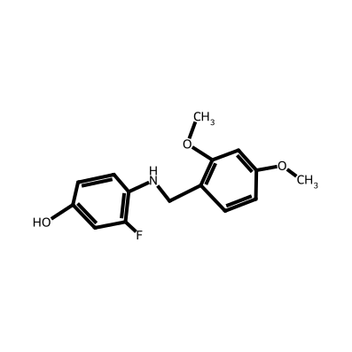 COc1ccc(CNc2ccc(O)cc2F)c(OC)c1